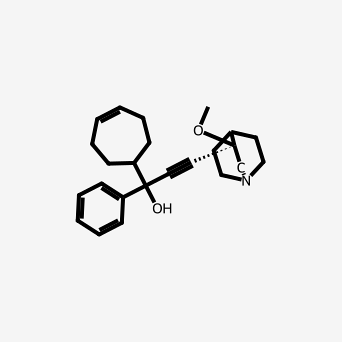 CO[C@]1(C#CC(O)(c2ccccc2)C2CCC=CCC2)CN2CCC1CC2